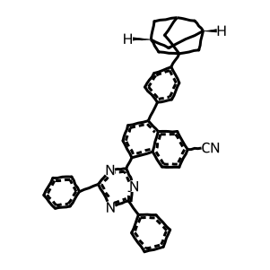 N#Cc1ccc2c(-c3nc(-c4ccccc4)nc(-c4ccccc4)n3)ccc(-c3ccc(C45CC6C[C@H](C4)C[C@@H](C6)C5)cc3)c2c1